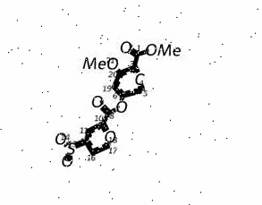 COC(=O)c1ccc(OC(=O)c2cc(=S(=O)=O)cco2)cc1OC